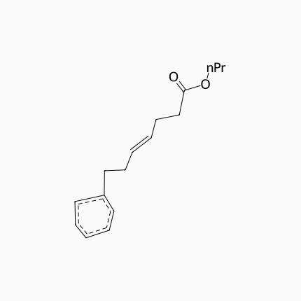 CCCOC(=O)CC/C=C/CCc1ccccc1